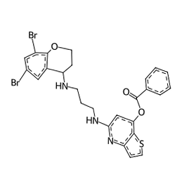 O=C(Oc1cc(NCCCNC2CCOc3c(Br)cc(Br)cc32)nc2ccsc12)c1ccccc1